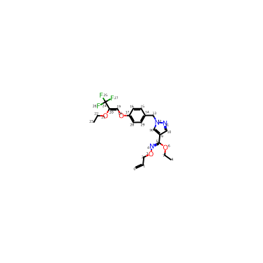 C=CCON=C(OCC)c1cnn(Cc2ccc(O/C=C(\OCC)C(F)(F)F)cc2)c1